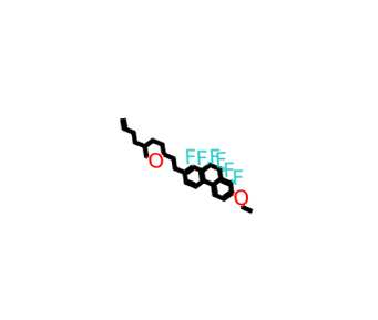 C=CCCC1CCC(CCc2ccc3c(c2F)C(F)(F)C(F)(F)c2c-3ccc(OCC)c2F)OC1